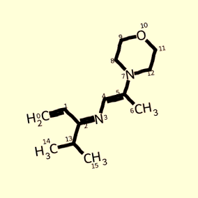 C=C/C(=N\C=C(/C)N1CCOCC1)C(C)C